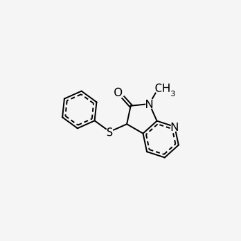 CN1C(=O)C(Sc2ccccc2)c2cccnc21